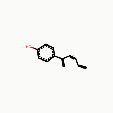 C=C/C=C\C(=C)c1ccc(O)cc1